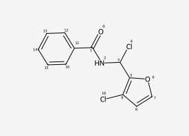 O=C(NC(Cl)c1occc1Cl)c1ccccc1